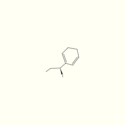 CC[C@H](I)C1=CCCC=C1